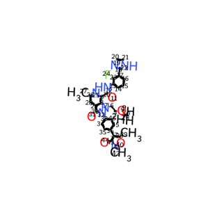 [2H]C([2H])([2H])OCCn1c2c(C(=O)Nc3cccc(-c4ncc[nH]4)c3F)nc(C)cc2c(=O)n1-c1ccc(-c2c(C)on(C)c2=O)cc1